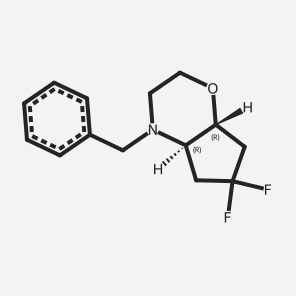 FC1(F)C[C@@H]2[C@@H](C1)OCCN2Cc1ccccc1